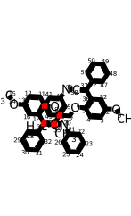 COc1ccc(OCC(Oc2ccc(OC)cc2C(=C=Nc2ccccc2)c2ccccc2)C(C)C)c(C(=C=Nc2ccccc2)c2ccccc2)c1